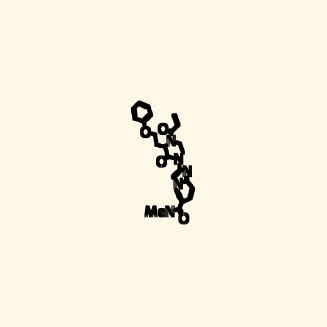 C=CC(=O)N1CCN(c2cn3cc(C(=O)NC)ccc3n2)C(=O)C1CCOc1ccccc1